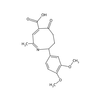 COc1ccc(C2CCC(=O)/C(C(=O)O)=C\C(C)=N/2)cc1OC